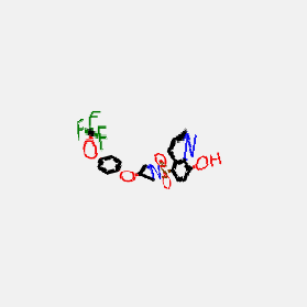 O=S(=O)(c1ccc(O)c2ncccc12)N1CC(Oc2ccc(OC(F)(F)F)cc2)C1